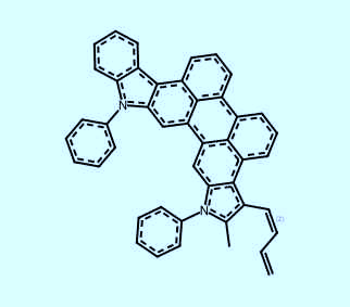 C=C/C=C\c1c(C)n(-c2ccccc2)c2cc3c4cc5c(c6cccc(c7cccc(c12)c73)c46)c1ccccc1n5-c1ccccc1